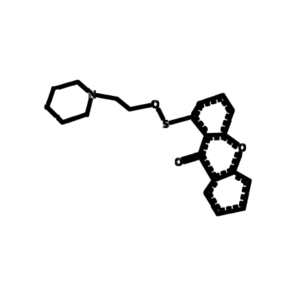 O=c1c2ccccc2oc2cccc(SOCCN3CCCCC3)c12